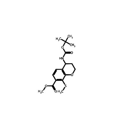 COC(=O)c1ccc2c(c1SC)OCCC2NC(=O)OC(C)(C)C